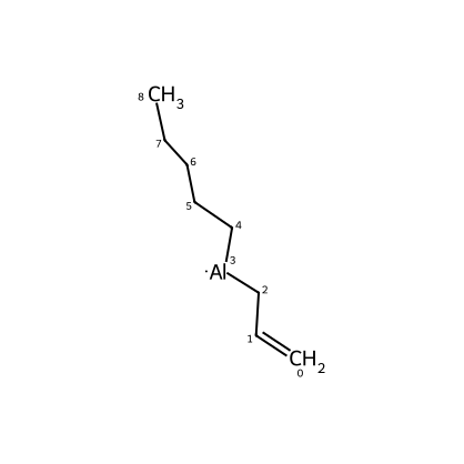 C=C[CH2][Al][CH2]CCCC